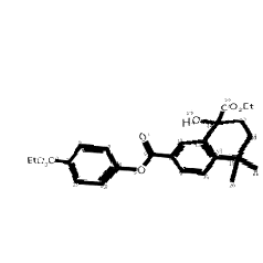 CCOC(=O)c1ccc(OC(=O)c2ccc3c(c2)C(O)(C(=O)OCC)CCC3(C)C)cc1